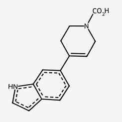 O=C(O)N1CC=C(c2ccc3cc[nH]c3c2)CC1